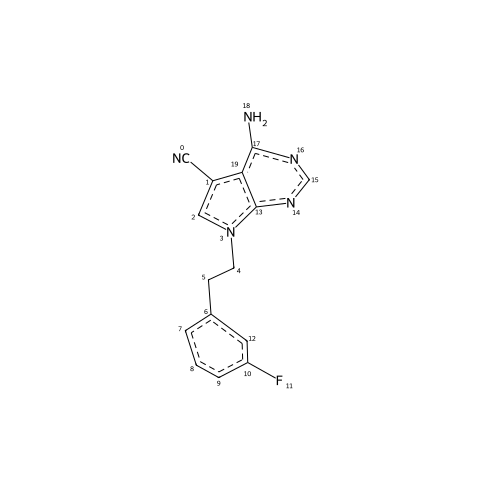 N#Cc1cn(CCc2cccc(F)c2)c2ncnc(N)c12